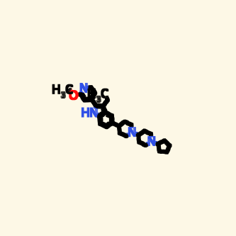 CCc1c(-c2ccnc(OC)c2)[nH]c2ccc(C3CCN(C4CCN(C5CCCC5)CC4)CC3)cc12